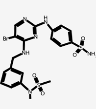 CN(c1cccc(CNc2nc(Nc3ccc(S(N)(=O)=O)cc3)ncc2Br)c1)S(C)(=O)=O